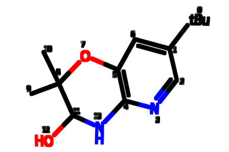 CC(C)(C)c1cnc2c(c1)OC(C)(C)C(O)N2